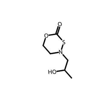 CC(O)CN1CCOC(=O)S1